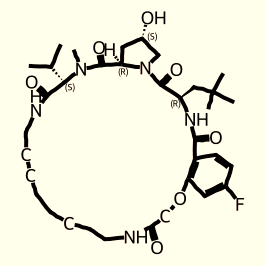 CC(C)[C@H]1C(=O)NCCCCCCCCNC(=O)COc2cc(F)ccc2C(=O)N[C@H](CC(C)(C)C)C(=O)N2C[C@@H](O)C[C@@H]2C(=O)N1C